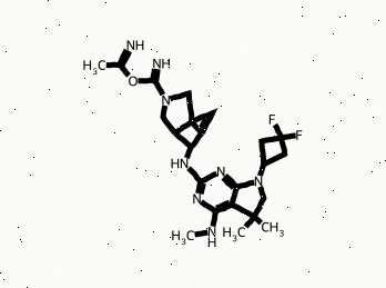 CNc1nc(NC2C3=CC34CN(C(=N)OC(C)=N)CC24)nc2c1C(C)(C)CN2C1CC(F)(F)C1